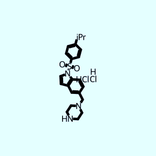 CC(C)c1ccc(S(=O)(=O)n2ccc3cc(CN4CCNCC4)ccc32)cc1.Cl.Cl